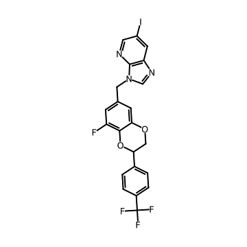 Fc1cc(Cn2cnc3cc(I)cnc32)cc2c1OC(c1ccc(C(F)(F)F)cc1)CO2